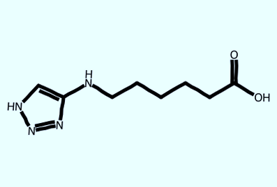 O=C(O)CCCCCNc1c[nH]nn1